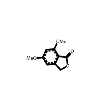 COc1cc2c(c(OC)c1)C(=O)OC2